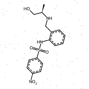 C[C@H](CO)NCc1ccccc1NS(=O)(=O)c1ccc([N+](=O)[O-])cc1